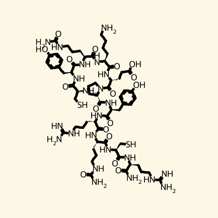 N=C(N)NCCC[C@H](NC(=O)[C@H](CS)NC(=O)[C@H](CCCNC(N)=O)NC(=O)[C@H](CCCNC(=N)N)NC(=O)[C@H](Cc1ccc(O)cc1)NC(=O)[C@@H]1CCCN1C(=O)[C@@H](CCC(=O)O)NC(=O)[C@H](CCCCN)NC(=O)[C@H](CCCNC(N)=O)NC(=O)[C@H](Cc1ccc(O)cc1)NC(=O)[C@@H](N)CS)C(N)=O